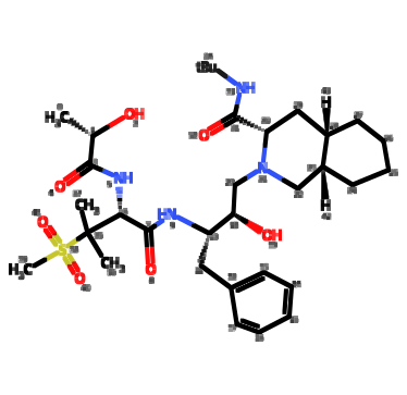 C[C@H](O)C(=O)N[C@H](C(=O)N[C@@H](Cc1ccccc1)[C@H](O)CN1C[C@H]2CCCC[C@H]2C[C@H]1C(=O)NC(C)(C)C)C(C)(C)S(C)(=O)=O